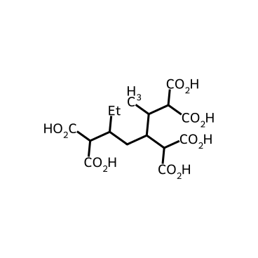 CCC(CC(C(C(=O)O)C(=O)O)C(C)C(C(=O)O)C(=O)O)C(C(=O)O)C(=O)O